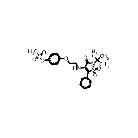 CC(C)(C)N1C(=O)C(NCCOc2ccc(OS(C)(=O)=O)cc2)=C(c2ccccc2)S1(=O)=O